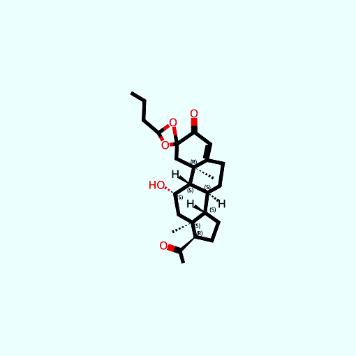 CCCC1OC2(C[C@@]3(C)C(=CC2=O)CC[C@@H]2[C@@H]3[C@@H](O)C[C@]3(C)[C@H](C(C)=O)CC[C@@H]23)O1